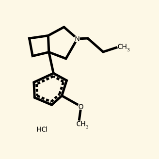 CCCN1CC2CCC2(c2cccc(OC)c2)C1.Cl